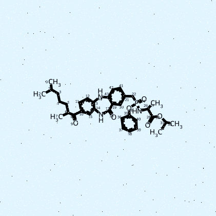 CC(C)CCCC(C)C(=O)c1ccc2c(c1)NC(=O)c1cc(CP(=O)(NC(C)C(=O)OC(C)C)Oc3ccccc3)ccc1N2